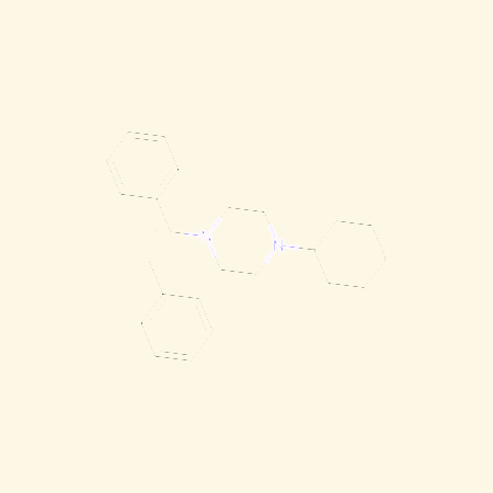 c1ccc(C[C@H](c2ccccc2)N2CCN(C3CCCCC3)CC2)cc1